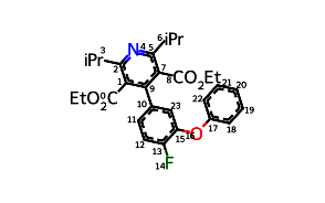 CCOC(=O)c1c(C(C)C)nc(C(C)C)c(C(=O)OCC)c1-c1ccc(F)c(Oc2ccccc2)c1